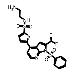 NCCNS(=O)(=O)c1ccc(-c2ccnc3c2cc(C(F)F)n3S(=O)(=O)c2ccccc2)s1